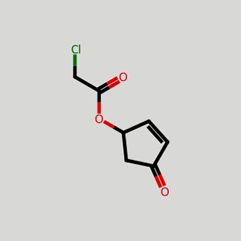 O=C1C=CC(OC(=O)CCl)C1